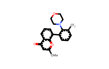 COc1cc(=O)c2cccc(-c3cccc(C(F)(F)F)c3N3CCOCC3)c2o1